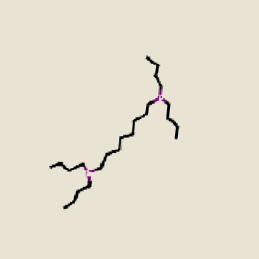 CCCCP(CCCC)CCCCCCCCP(CCCC)CCCC